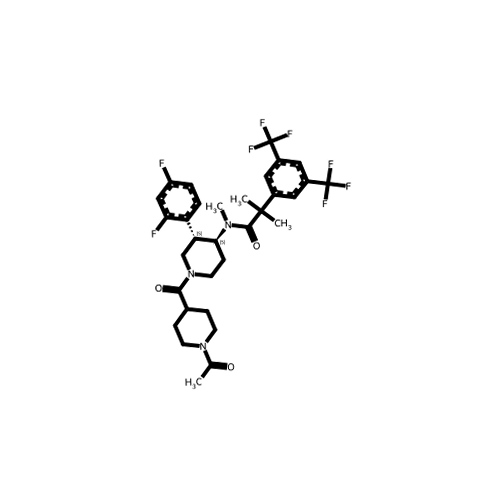 CC(=O)N1CCC(C(=O)N2CC[C@H](N(C)C(=O)C(C)(C)c3cc(C(F)(F)F)cc(C(F)(F)F)c3)[C@@H](c3ccc(F)cc3F)C2)CC1